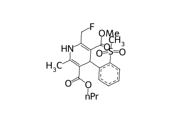 CCCOC(=O)C1=C(C)NC(CF)=C(C(=O)OC)C1c1ccccc1S(C)(=O)=O